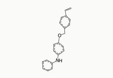 C=Cc1ccc(COc2ccc(Nc3ccccc3)cc2)cc1